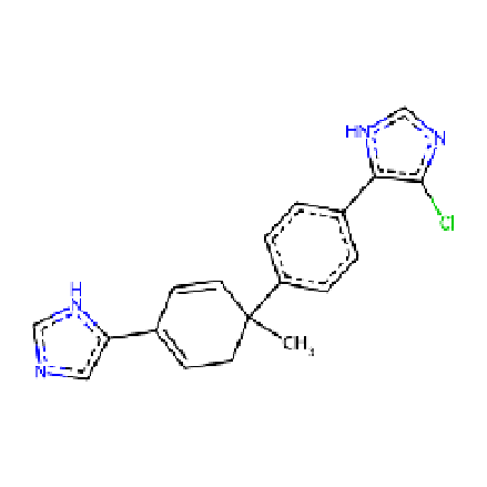 CC1(c2ccc(-c3[nH]cnc3Cl)cc2)C=CC(c2cnc[nH]2)=CC1